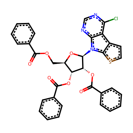 O=C(OC[C@H]1O[C@@H](n2c3ncnc(Cl)c3c3ccsc32)[C@H](OC(=O)c2ccccc2)[C@@H]1OC(=O)c1ccccc1)c1ccccc1